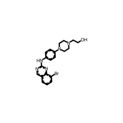 OCCN1CCN(c2ccc(Nc3ncc4cccc(Br)c4n3)cc2)CC1